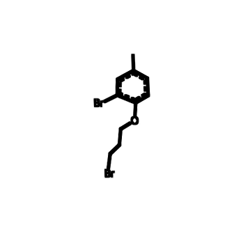 Cc1ccc(OCCCBr)c(Br)c1